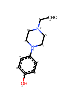 O=CCN1CCN(c2ccc(O)cc2)CC1